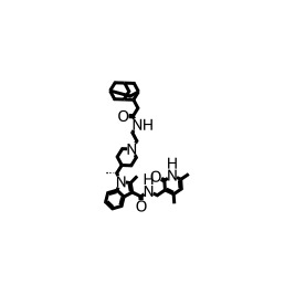 Cc1cc(C)c(CNC(=O)c2c(C)n([C@H](C)C3CCN(CCNC(=O)CC4C5CC6CC(C5)CC4C6)CC3)c3ccccc23)c(=O)[nH]1